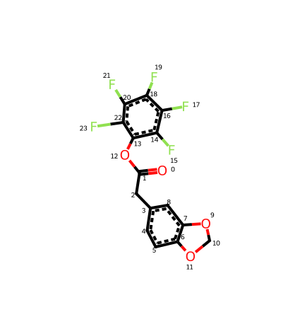 O=C(Cc1ccc2c(c1)OCO2)Oc1c(F)c(F)c(F)c(F)c1F